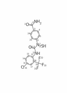 NC(=O)c1ccc(N(S)C(=O)Nc2ccc(Cl)cc2C(F)(F)F)cc1